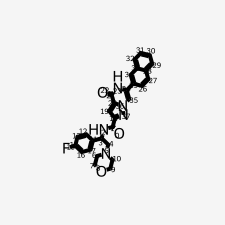 O=C(NC(CN1CCOCC1)c1ccc(F)cc1)c1cc2c(=O)[nH]c(-c3ccc4ccccc4c3)cn2n1